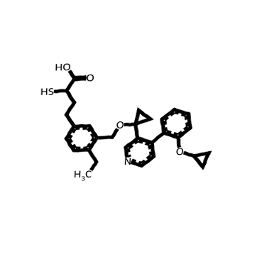 CCc1ccc(CCC(S)C(=O)O)cc1COC1(c2cnccc2-c2ccccc2OC2CC2)CC1